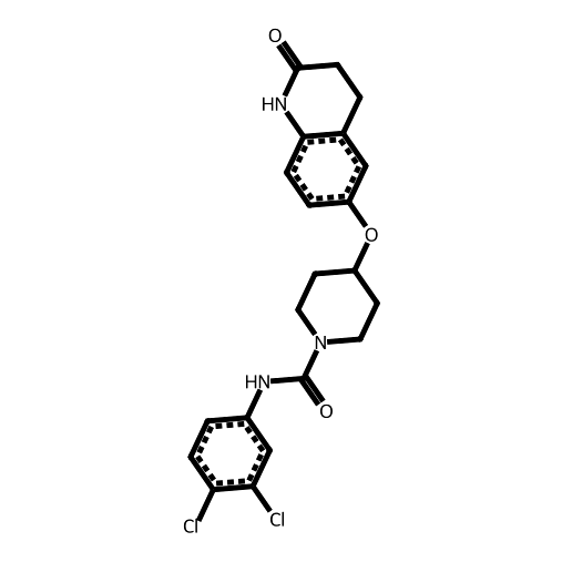 O=C1CCc2cc(OC3CCN(C(=O)Nc4ccc(Cl)c(Cl)c4)CC3)ccc2N1